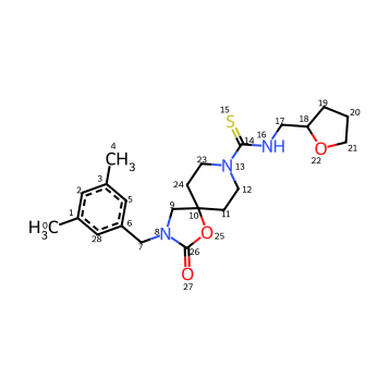 Cc1cc(C)cc(CN2CC3(CCN(C(=S)NCC4CCCO4)CC3)OC2=O)c1